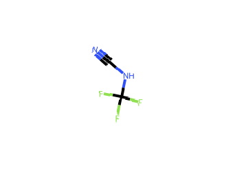 N#CNC(F)(F)F